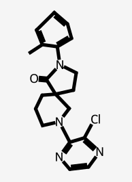 Cc1ccccc1N1CCC2(CCCN(c3nccnc3Cl)C2)C1=O